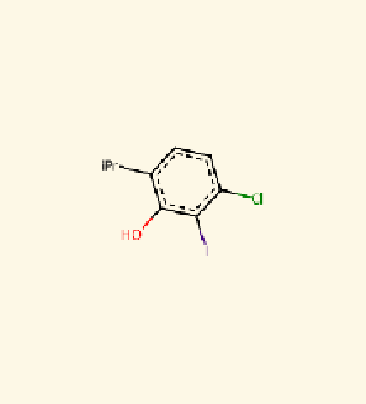 CC(C)c1ccc(Cl)c(I)c1O